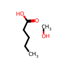 CCCCC(=O)O.CO